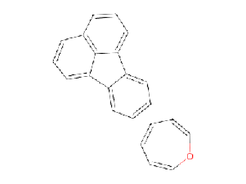 C1=CC=COC=C1.c1ccc2c(c1)-c1cccc3cccc-2c13